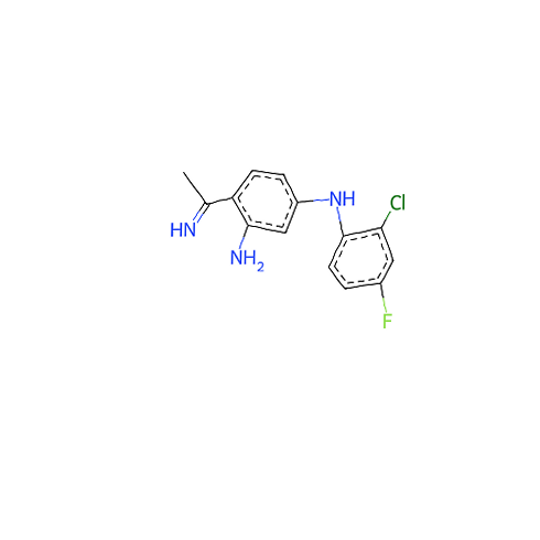 CC(=N)c1ccc(Nc2ccc(F)cc2Cl)cc1N